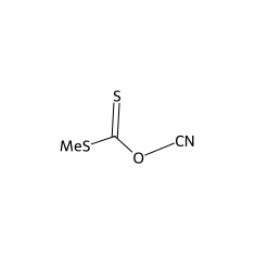 CSC(=S)OC#N